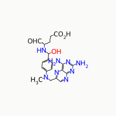 CN(Cc1cnc2nc(N)nc(N)c2n1)c1ccc(C(O)N[C@@H](C=O)CCC(=O)O)cc1